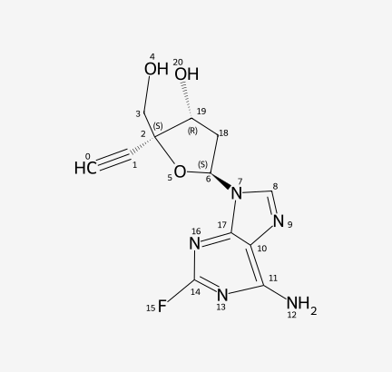 C#C[C@@]1(CO)O[C@H](n2cnc3c(N)nc(F)nc32)C[C@H]1O